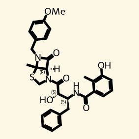 COc1ccc(CN2C(=O)[C@H]3N(C(=O)[C@@H](O)[C@H](Cc4ccccc4)NC(=O)c4cccc(O)c4C)CSC32C)cc1